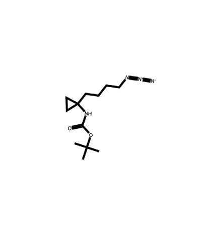 CC(C)(C)OC(=O)NC1(CCCCN=[N+]=[N-])CC1